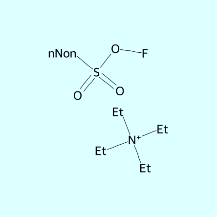 CCCCCCCCCS(=O)(=O)OF.CC[N+](CC)(CC)CC